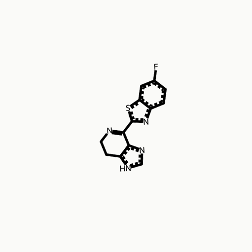 Fc1ccc2nc(C3=NCCc4[nH]cnc43)sc2c1